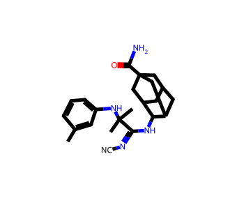 Cc1cccc(NC(C)(C)/C(=N\C#N)NC2C3CC4CC2CC(C(N)=O)(C4)C3)c1